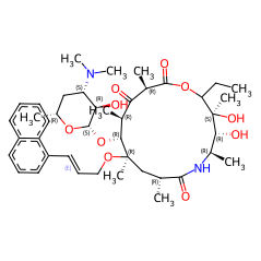 CCC1OC(=O)[C@H](C)C(=O)[C@H](C)[C@@H](O[C@@H]2O[C@H](C)C[C@H](N(C)C)[C@H]2O)[C@](C)(OC/C=C/c2cccc3ccccc23)C[C@@H](C)C(=O)N[C@H](C)[C@@H](O)[C@]1(C)O